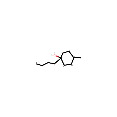 CCCCC1(O)CCC(C)CC1